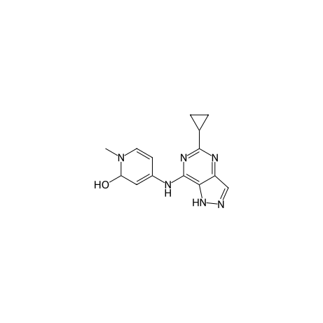 CN1C=CC(Nc2nc(C3CC3)nc3cn[nH]c23)=CC1O